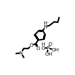 CCCCNc1ccc(C(=O)OCCN(C)C)cc1.O=P(O)(O)O